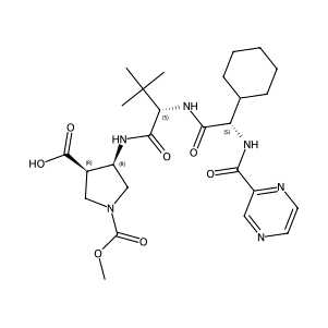 COC(=O)N1C[C@H](NC(=O)[C@@H](NC(=O)[C@@H](NC(=O)c2cnccn2)C2CCCCC2)C(C)(C)C)[C@H](C(=O)O)C1